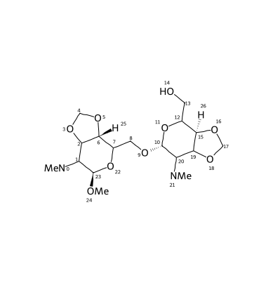 CNC1C2OCO[C@@H]2C(CO[C@@H]2OC(CO)[C@H]3OCOC3C2NC)O[C@H]1OC